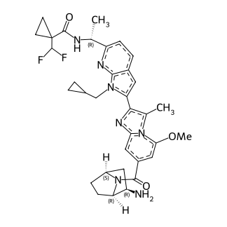 COc1cc(C(=O)N2[C@H]3CC[C@@H]2[C@H](N)C3)cc2nc(-c3cc4ccc([C@@H](C)NC(=O)C5(C(F)F)CC5)nc4n3CC3CC3)c(C)n12